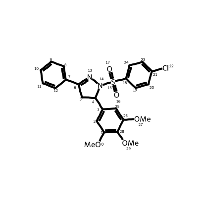 COc1cc(C2CC(c3ccccc3)=NN2S(=O)(=O)c2ccc(Cl)cc2)cc(OC)c1OC